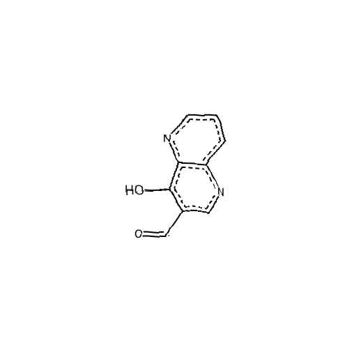 O=[C]c1cnc2cccnc2c1O